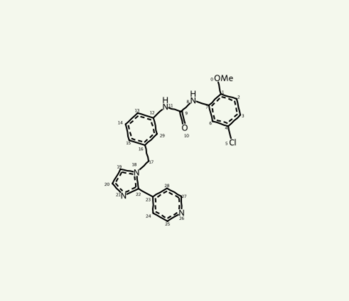 COc1ccc(Cl)cc1NC(=O)Nc1cccc(Cn2ccnc2-c2ccncc2)c1